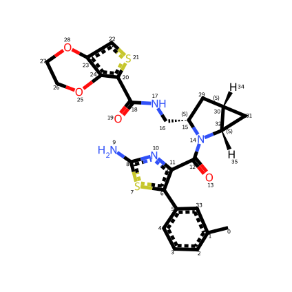 Cc1cccc(-c2sc(N)nc2C(=O)N2[C@H](CNC(=O)c3scc4c3OCCO4)C[C@@H]3C[C@@H]32)c1